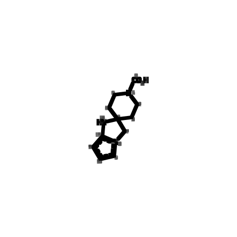 O=C(O)N1CCC2(CC1)Cn1cccc1N2